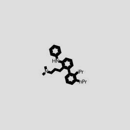 CCCc1cccc(-c2cccc(Nc3ccccc3)c2CCCN(C)C)c1C(C)C